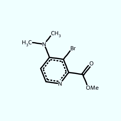 COC(=O)c1nccc(N(C)C)c1Br